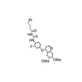 COc1cc2nccc(Oc3ccc(NC(=S)NC(=O)CCCC(C)C)c(F)c3)c2cc1OC